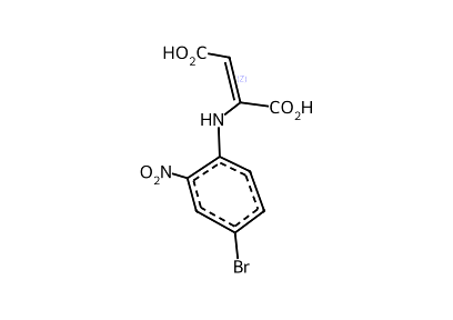 O=C(O)/C=C(\Nc1ccc(Br)cc1[N+](=O)[O-])C(=O)O